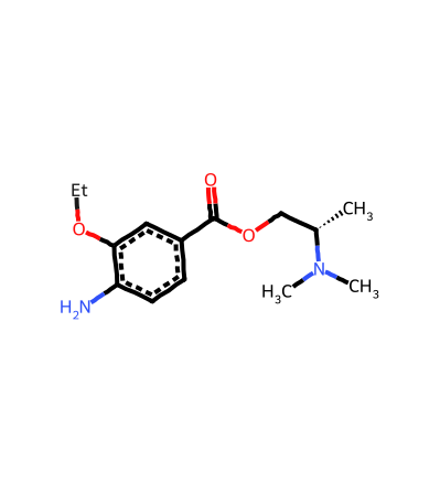 CCOc1cc(C(=O)OC[C@H](C)N(C)C)ccc1N